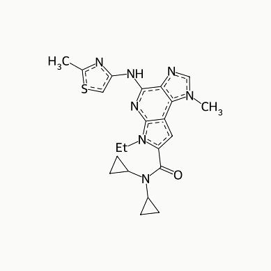 CCn1c(C(=O)N(C2CC2)C2CC2)cc2c3c(ncn3C)c(Nc3csc(C)n3)nc21